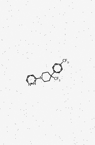 FC(F)(F)c1ccc(C2(C(F)(F)F)CCN(c3cccnn3)CC2)cc1